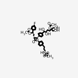 CC(=O)O[C@@H](CC[C@H]1C(=O)N(c2ccc(CCCNS(C)(=O)=O)cc2)[C@@H]1c1ccc(C(O)C(O)CCC(CO)(CO)OC(C)=O)cc1)c1ccc(F)cc1